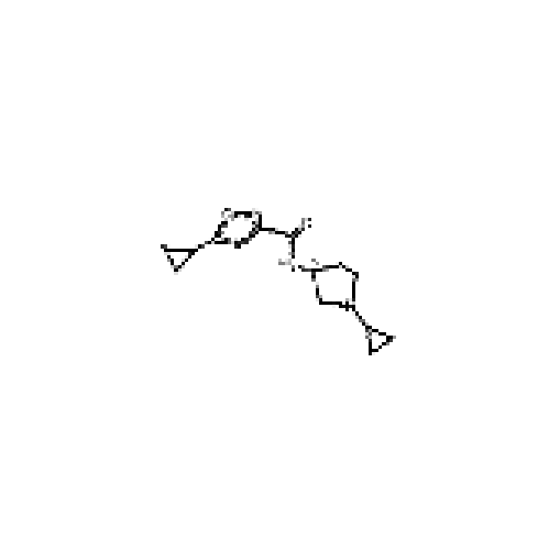 O=C(N[C@H]1CCN(C2CC2)C1)c1cc(C2CC2)on1